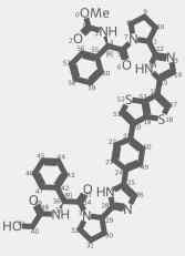 COC(=O)N[C@@H](C(=O)N1CCCC1c1ncc(-c2csc3c(-c4ccc(-c5cnc(C6CCCN6C(=O)[C@H](NC(=O)CO)c6ccccc6)[nH]5)cc4)csc23)[nH]1)c1ccccc1